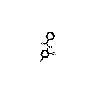 N#Cc1cc(Br)ccc1NC(=O)c1ccccc1